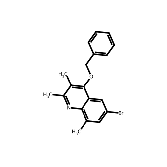 Cc1nc2c(C)cc(Br)cc2c(OCc2ccccc2)c1C